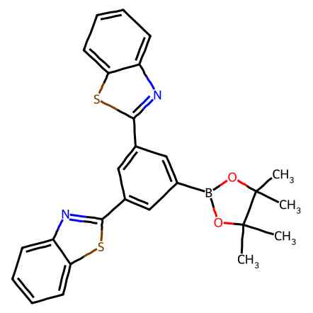 CC1(C)OB(c2cc(-c3nc4ccccc4s3)cc(-c3nc4ccccc4s3)c2)OC1(C)C